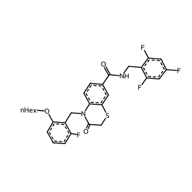 CCCCCCOc1cccc(F)c1CN1C(=O)CSc2cc(C(=O)NCc3c(F)cc(F)cc3F)ccc21